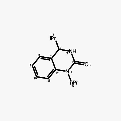 CCCN1C(=O)NC(C(C)C)c2ccccc21